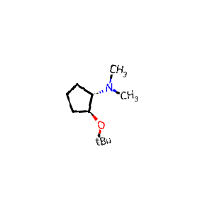 CN(C)[C@H]1CCC[C@@H]1OC(C)(C)C